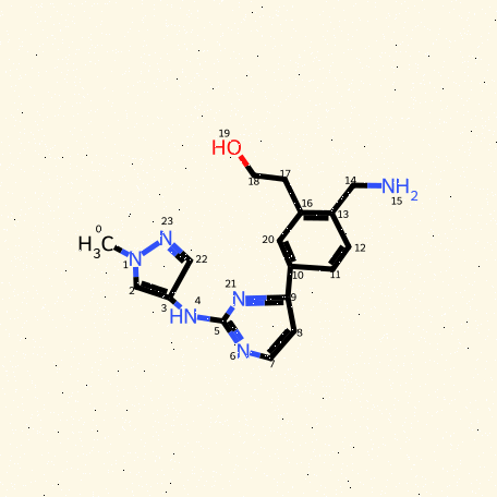 Cn1cc(Nc2nccc(-c3ccc(CN)c(CCO)c3)n2)cn1